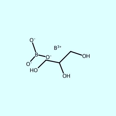 OCC(O)CO.[B+3].[O-]B([O-])[O-]